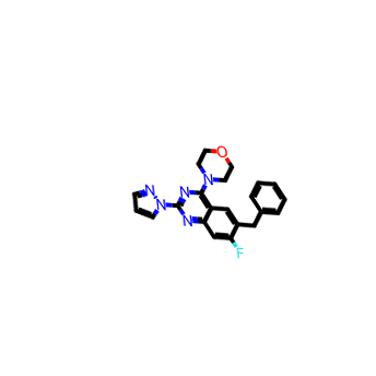 Fc1cc2nc(-n3cccn3)nc(N3CCOCC3)c2cc1Cc1ccccc1